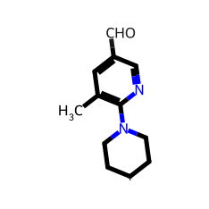 Cc1cc(C=O)cnc1N1CC[CH]CC1